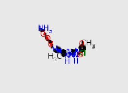 COc1ccc(Cl)c(N2Cc3cnc(Nc4ccc(N5CCN(CCOCCOCCOCCN)CC5)c(C)c4)nc3NC2=O)c1